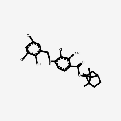 CC(=O)Oc1c(C(=O)OC2CC3CCC2(C)C3(C)C)ccc(NCc2cc(Cl)cc(Cl)c2O)c1Cl